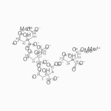 O=C([O-])CC(O)(CC(=O)[O-])C(=O)[O-].O=C([O-])CC(O)(CC(=O)[O-])C(=O)[O-].O=C([O-])CC(O)(CC(=O)[O-])C(=O)[O-].O=C([O-])CC(O)(CC(=O)[O-])C(=O)[O-].[Mo+4].[Mo+4].[Mo+4]